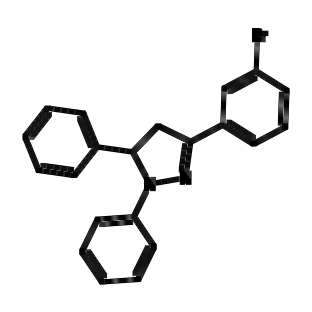 Brc1cccc(C2=NN(c3ccccc3)C(c3ccccc3)C2)c1